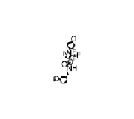 COc1cccc(CCNC(=O)Oc2cnn(-c3ccc(Cl)cc3)c2C(F)(F)F)c1